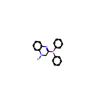 CCN1CC(P(c2ccccc2)c2ccccc2)=Nc2ccccc21